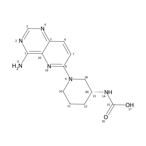 Nc1ncnc2ccc(N3CCC[C@@H](NC(=O)O)C3)nc12